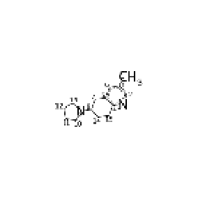 Cc1cnc2c(c1)CC(N1CCCC1)CC2